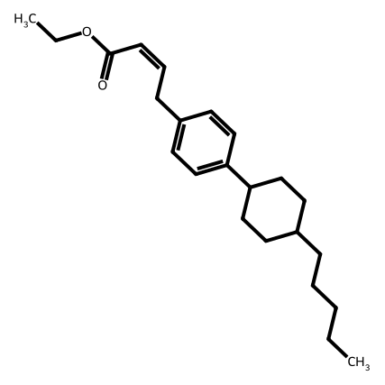 CCCCCC1CCC(c2ccc(C/C=C\C(=O)OCC)cc2)CC1